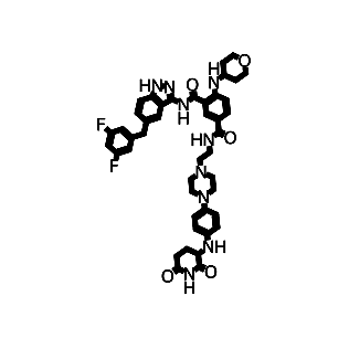 O=C1CCC(Nc2ccc(N3CCN(CCNC(=O)c4ccc(NC5CCOCC5)c(C(=O)Nc5n[nH]c6ccc(Cc7cc(F)cc(F)c7)cc56)c4)CC3)cc2)C(=O)N1